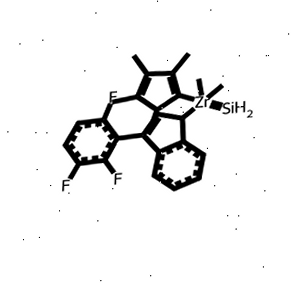 CC1=C(C)C(C)[C]([Zr]([CH3])([CH3])(=[SiH2])[CH]2C=C(c3c(F)ccc(F)c3F)c3ccccc32)=C1C